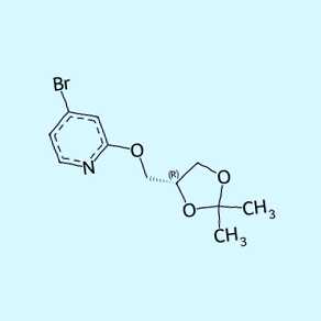 CC1(C)OC[C@@H](COc2cc(Br)ccn2)O1